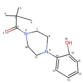 CC(C)(C)C(=O)N1CCN(c2ccccc2O)CC1